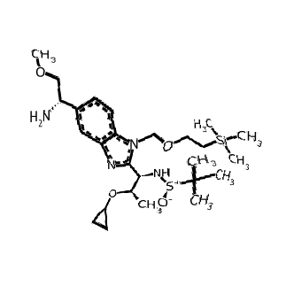 COC[C@@H](N)c1ccc2c(c1)nc([C@@H](N[S@+]([O-])C(C)(C)C)[C@@H](C)OC1CC1)n2COCC[Si](C)(C)C